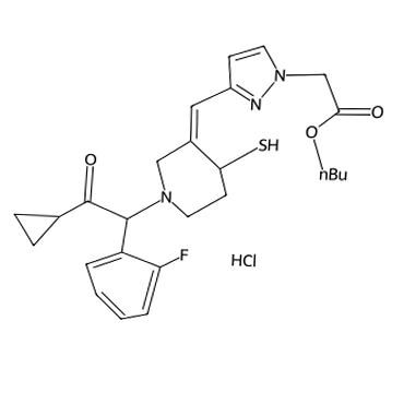 CCCCOC(=O)Cn1ccc(C=C2CN(C(C(=O)C3CC3)c3ccccc3F)CCC2S)n1.Cl